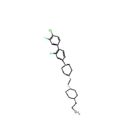 CCC[C@H]1CC[C@H](CC[C@H]2CC[C@H](c3ccc(-c4ccc(Cl)c(F)c4)c(F)c3)CC2)CC1